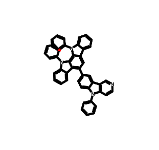 c1ccc(-n2c3ccncc3c3cc(-c4cc5c6ccccc6n(-c6ccccc6)c5c5c4c4ccccc4n5-c4ccccc4)ccc32)cc1